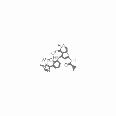 COc1c(Nc2cc(NC(=O)C3CC3)nc3c2C(=C=O)N(C)N=C3)cccc1-c1ncn(C)n1